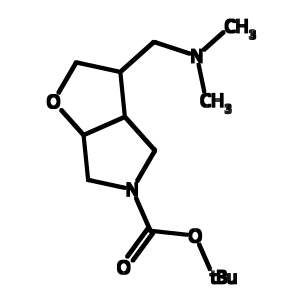 CN(C)CC1COC2CN(C(=O)OC(C)(C)C)CC12